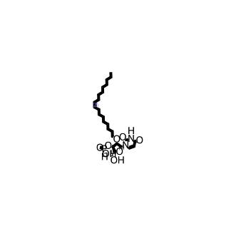 CCCCCCCC/C=C\CCCCCCCCOC1C(O[PH](=O)O)[C@@H](CO)O[C@H]1n1ccc(=O)[nH]c1=O